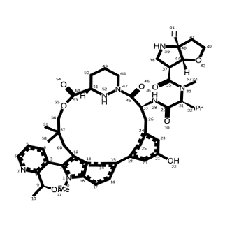 CCn1c(-c2cccnc2[C@H](C)OC)c2c3cc(ccc31)-c1cc(O)cc(c1)C[C@H](NC(=O)[C@H](C(C)C)N(C)C(=O)[C@H]1CN[C@@H]3CCO[C@H]13)C(=O)N1CCC[C@H](N1)C(=O)OCC(C)(C)C2